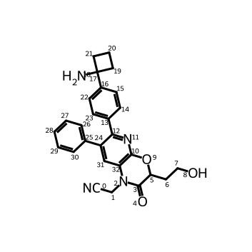 N#CCN1C(=O)C(CCO)Oc2nc(-c3ccc(C4(N)CCC4)cc3)c(-c3ccccc3)cc21